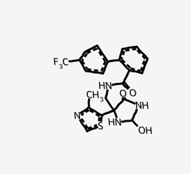 Cc1ncsc1C1(CNC(=O)c2ccccc2-c2ccc(C(F)(F)F)cc2)NC(O)NC1=O